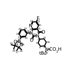 CC(C)(C)N(C(=O)O)C1CCC(n2c(=O)c3cc(F)cnc3n(-c3cccc(B4OC(C)(C)C(C)(C)O4)c3)c2=O)CC1